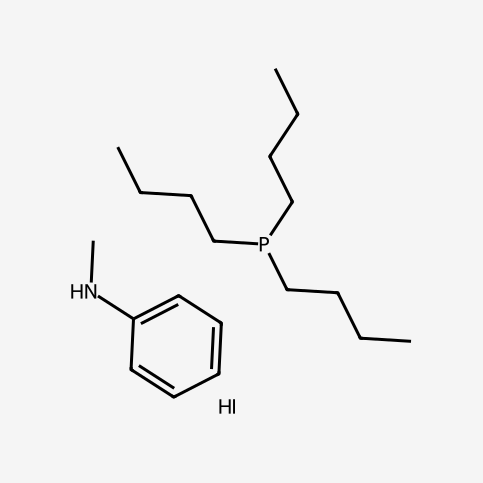 CCCCP(CCCC)CCCC.CNc1ccccc1.I